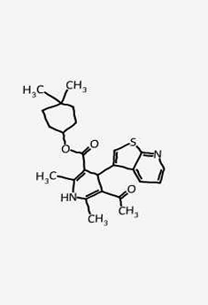 CC(=O)C1=C(C)NC(C)=C(C(=O)OC2CCC(C)(C)CC2)C1c1csc2ncccc12